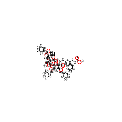 COC(=O)CCCCCCCCO[C@H]1O[C@@H]2COC(c3ccccc3)O[C@H]2[C@H](OC(C)=O)[C@H]1O[C@H]1O[C@H](COCc2ccccc2)[C@@H](OCc2ccccc2)C[C@H]1OCc1ccccc1